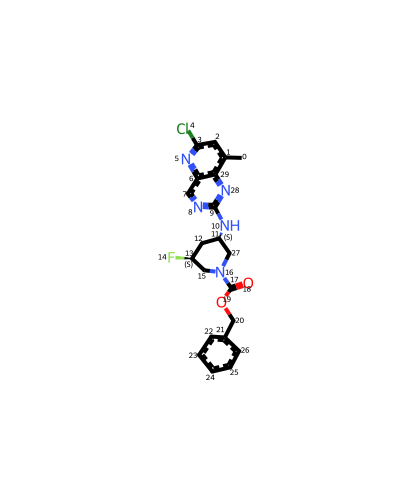 Cc1cc(Cl)nc2cnc(N[C@H]3C[C@H](F)CN(C(=O)OCc4ccccc4)C3)nc12